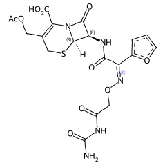 CC(=O)OCC1=C(C(=O)O)N2C(=O)[C@@H](NC(=O)/C(=N\OCC(=O)NC(N)=O)c3ccco3)[C@H]2SC1